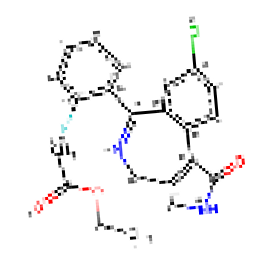 CCOC(C)=O.O=C1NCC2=C1c1ccc(Cl)cc1C(c1ccccc1F)=NC2